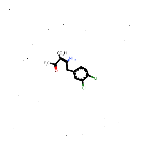 NC(Cc1ccc(Cl)c(Cl)c1)=C(C(=O)O)C(=O)C(F)(F)F